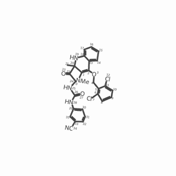 CNC1=C(OCc2c(Cl)cccc2Cl)c2ccccc2NC1(C)C(=O)CNC(=O)Nc1cccc(C#N)c1